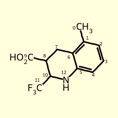 Cc1cccc2c1CC(C(=O)O)C(C(F)(F)F)N2